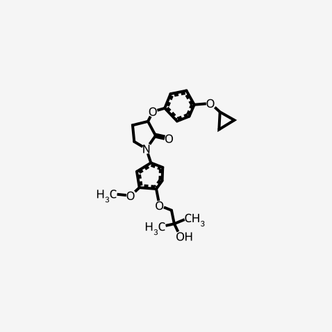 COc1cc(N2CCC(Oc3ccc(OC4CC4)cc3)C2=O)ccc1OCC(C)(C)O